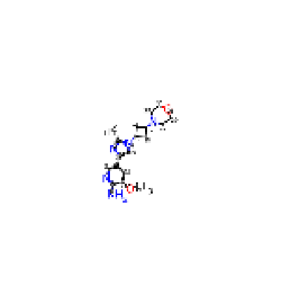 CC(C)c1nc(-c2cnc(N)c(OC(F)(F)F)c2)cn1C1CC(N2CCOCC2)C1